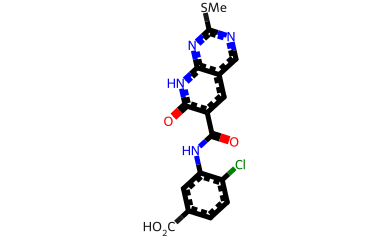 CSc1ncc2cc(C(=O)Nc3cc(C(=O)O)ccc3Cl)c(=O)[nH]c2n1